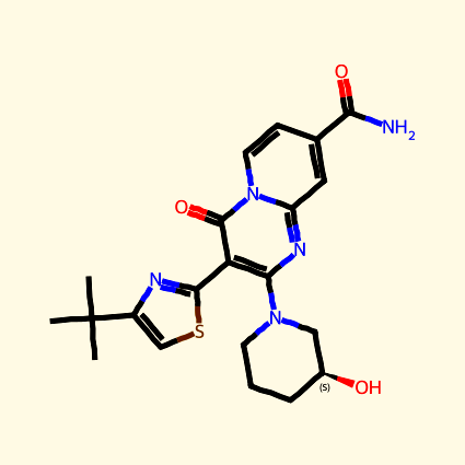 CC(C)(C)c1csc(-c2c(N3CCC[C@H](O)C3)nc3cc(C(N)=O)ccn3c2=O)n1